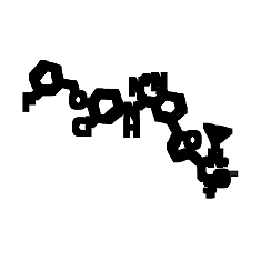 CN(C1CC1)C(C[S+](C)[O-])c1ccc(-c2ccc3ncnc(Nc4ccc(OCc5cccc(F)c5)c(Cl)c4)c3c2)o1